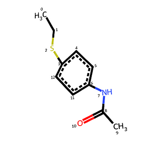 CCSc1ccc(NC(C)=O)cc1